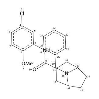 COc1ccc(Cl)cc1NC(=O)C1CC2CCC(C1)N2Cc1ccccc1